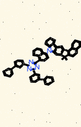 CC1(C)c2cc3c(cc2-c2c1ccc1ccccc21)c1ccccc1n3-c1ccc(-c2nc(-c3cccc(-c4ccccc4)c3)nc(-c3cccc(-c4ccccc4)c3)n2)c2ccccc12